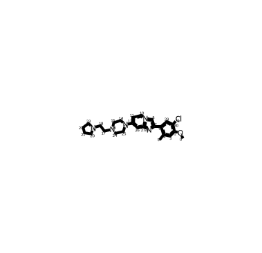 COc1cc(C)c(-c2cn3ccc(N4CCN(CCN5CCCC5)CC4)cc3n2)cc1Cl